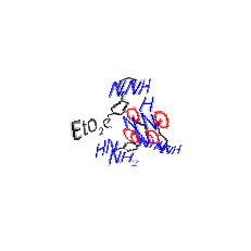 CCOC(=O)CCc1cc(Oc2nc(Oc3cc(C(=N)N)ccc3N)nc3c2NC(=O)C(Cc2c[nH]cn2)O3)cc(C2N=CCCN2)c1